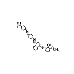 COc1cccc(/C=N/c2ccc(/N=N/c3ccc(/N=N/c4ccc(C(F)(F)F)cc4)cc3)c3ccccc23)c1O